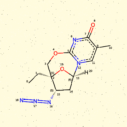 CC[C@@]12COc3nc(=O)c(C)cn3[C@@H](C[C@@H]1N=[N+]=[N-])O2